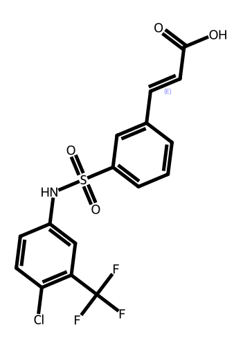 O=C(O)/C=C/c1cccc(S(=O)(=O)Nc2ccc(Cl)c(C(F)(F)F)c2)c1